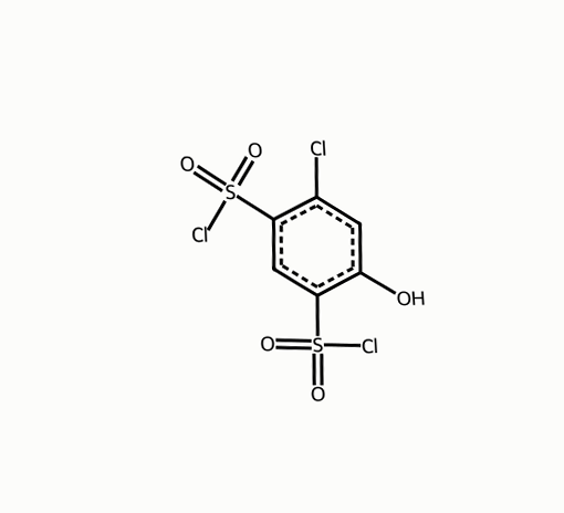 O=S(=O)(Cl)c1cc(S(=O)(=O)Cl)c(Cl)cc1O